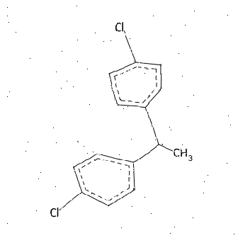 C[C](c1ccc(Cl)cc1)c1ccc(Cl)cc1